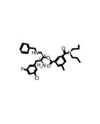 CCCN(CCC)C(=O)c1cc(C)cc(C(=O)O[C@H](CNCc2ccccc2)[C@@H](N)Cc2cc(F)cc(Cl)c2)c1